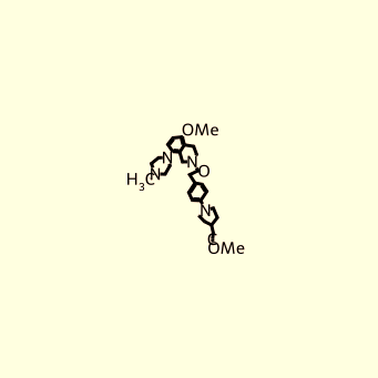 COCCC1CCN(c2ccc(CC(=O)N3CCc4c(OC)ccc(N5CCN(C)CC5)c4C3)cc2)CC1